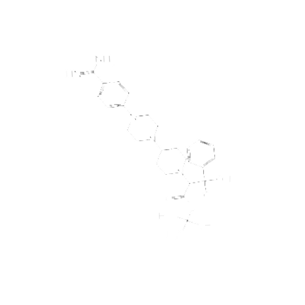 CC(C)(C)OC(=O)C(N1CCC(N2CCN(c3ccc(C(=N)N)cc3)CC2)CC1)C(C)(O)c1ccccc1